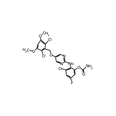 COc1cc(OC)c(Cl)c(COc2cnc(Nc3c(Cl)cc(F)cc3OC(N)=O)nc2)c1Cl